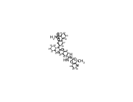 CC(OC(=O)NC(=N)c1cccc(CN(CC2CCCCC2)C(=O)Cc2ccc(-c3ccccc3S(N)(=O)=O)cc2)c1)c1ccccn1